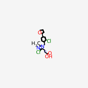 Cc1nc(Cl)c(/C=C/C(=O)O)n1Cc1ccc(-c2ccco2)cc1Cl